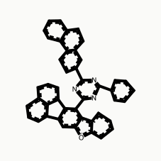 c1ccc(-c2nc(-c3ccc4c(ccc5ccccc54)c3)nc(-c3c4c(cc5oc6ccccc6c35)-c3cccc5cccc-4c35)n2)cc1